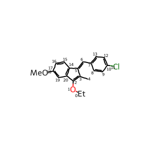 CCOC1=C(C)C(=Cc2ccc(Cl)cc2)c2ccc(OC)cc21